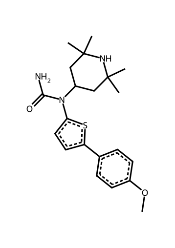 COc1ccc(-c2ccc(N(C(N)=O)C3CC(C)(C)NC(C)(C)C3)s2)cc1